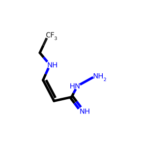 N=C(/C=C\NCC(F)(F)F)NN